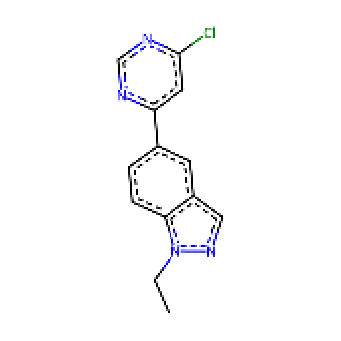 CCn1ncc2cc(-c3cc(Cl)ncn3)ccc21